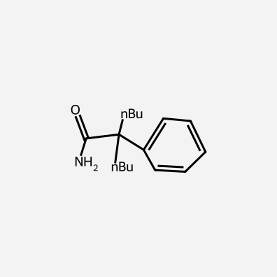 CCCCC(CCCC)(C(N)=O)c1ccccc1